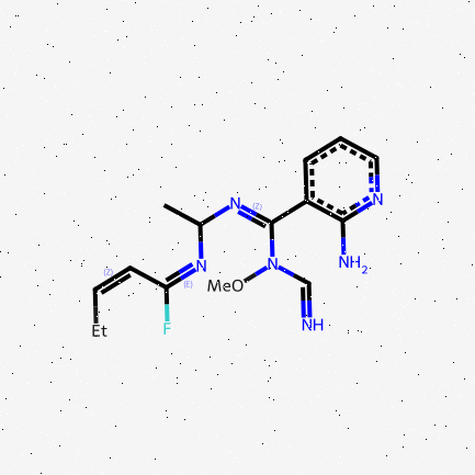 CC/C=C\C(F)=N/C(C)/N=C(/c1cccnc1N)N(C=N)OC